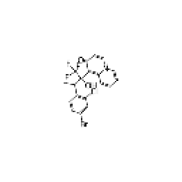 CC(c1ccc(Br)cc1Cl)C(O)(c1c(=O)ccn2ccccc12)C(F)(F)F